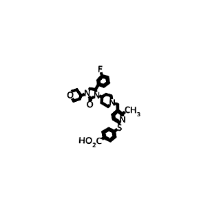 Cc1nc(Sc2ccc(C(=O)O)cc2)ccc1CN1CCC(N2C(=O)N(C3CCOCC3)CC2c2cccc(F)c2)CC1